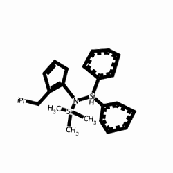 CC(C)CC1=C(N([SiH](c2ccccc2)c2ccccc2)[Si](C)(C)C)CC=C1